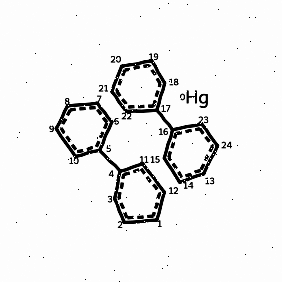 [Hg].c1ccc(-c2ccccc2)cc1.c1ccc(-c2ccccc2)cc1